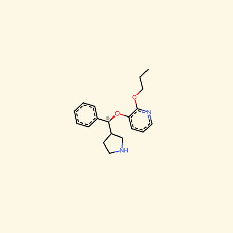 CCCOc1ncccc1O[C@H](c1ccccc1)C1CCNC1